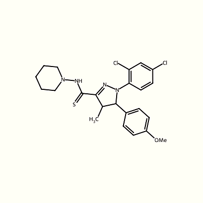 COc1ccc(C2C(C)C(C(=S)NN3CCCCC3)=NN2c2ccc(Cl)cc2Cl)cc1